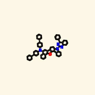 c1ccc(-c2ccc(N(c3ccc(-c4ccccc4)cc3)c3cc4c5ccc6c(c7ccccc7n6-c6nc(-c7ccccc7)c7ccccc7n6)c5oc4c4ccccc34)cc2)cc1